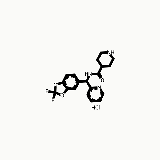 Cl.O=C(NC(c1ccc2c(c1)OC(F)(F)O2)c1ccccn1)C1CCNCC1